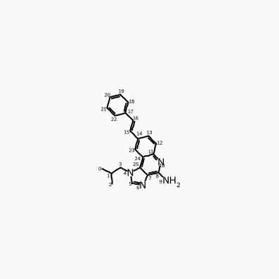 CC(C)Cn1cnc2c(N)nc3ccc(C=Cc4ccccc4)cc3c21